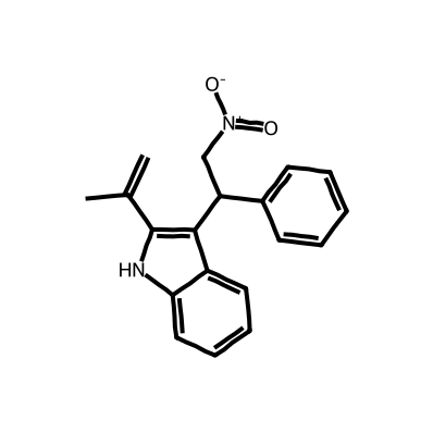 C=C(C)c1[nH]c2ccccc2c1C(C[N+](=O)[O-])c1ccccc1